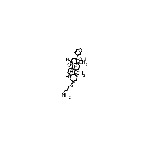 C[C@]12CC[C@H](SCCCN)C[C@H]1CC[C@@H]1[C@@H]2CC[C@@]2(C)[C@@]13O[C@@H]3C[C@]2(O)c1ccoc1